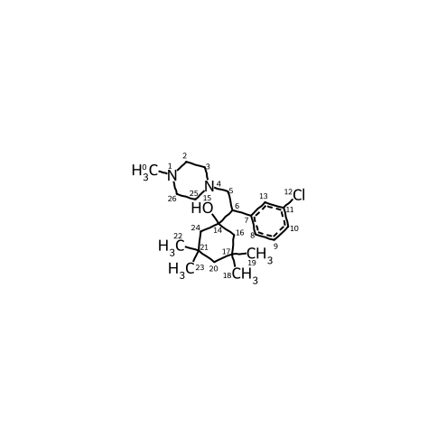 CN1CCN(CC(c2cccc(Cl)c2)C2(O)CC(C)(C)CC(C)(C)C2)CC1